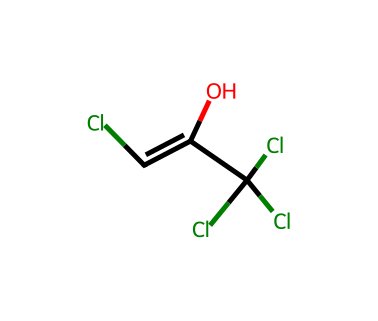 OC(=CCl)C(Cl)(Cl)Cl